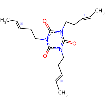 C/C=C/CCn1c(=O)n(CC/C=C/C)c(=O)n(CC/C=C/C)c1=O